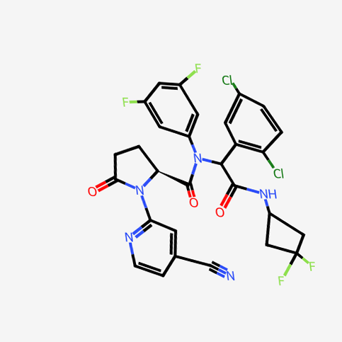 N#Cc1ccnc(N2C(=O)CC[C@H]2C(=O)N(c2cc(F)cc(F)c2)C(C(=O)NC2CC(F)(F)C2)c2cc(Cl)ccc2Cl)c1